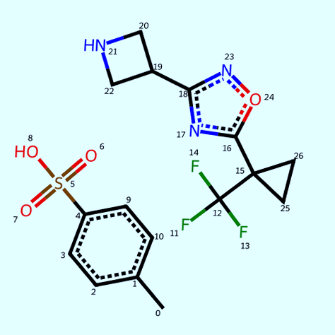 Cc1ccc(S(=O)(=O)O)cc1.FC(F)(F)C1(c2nc(C3CNC3)no2)CC1